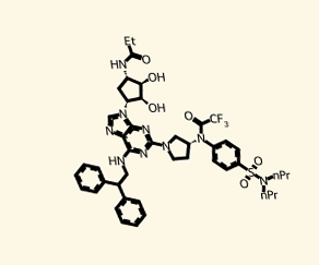 CCCN(CCC)S(=O)(=O)c1ccc(N(C(=O)C(F)(F)F)[C@@H]2CCN(c3nc(NCC(c4ccccc4)c4ccccc4)c4ncn([C@@H]5C[C@H](NC(=O)CC)[C@@H](O)[C@H]5O)c4n3)C2)cc1